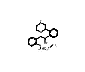 CC(=O)O.OC(Cc1ccccc1SC(F)(F)F)c1ccccc1C1CNCCO1